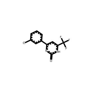 O=c1nc(-c2cccc(Cl)c2)cc(C(F)(F)F)[nH]1